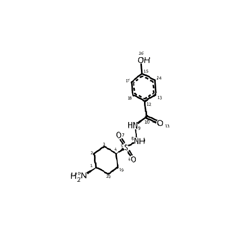 N[C@H]1CC[C@@H](S(=O)(=O)NNC(=O)c2ccc(O)cc2)CC1